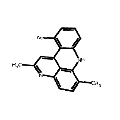 CC(=O)c1cccc2c1-c1cc(C)nc3ccc(C)c(c13)N2